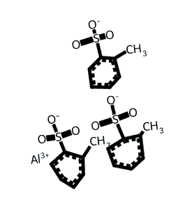 Cc1ccccc1S(=O)(=O)[O-].Cc1ccccc1S(=O)(=O)[O-].Cc1ccccc1S(=O)(=O)[O-].[Al+3]